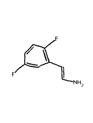 NC=Cc1cc(F)ccc1F